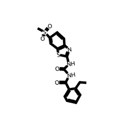 CCc1ccccc1C(=O)NC(=O)Nc1nc2ccc(S(C)(=O)=O)cc2s1